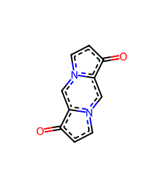 O=c1ccn2cc3c(=O)ccn3cc12